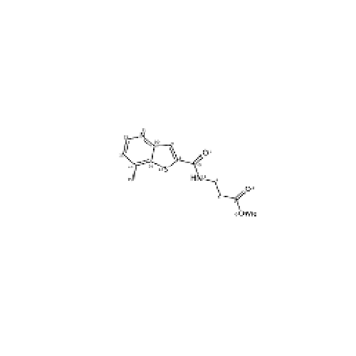 COC(=O)CCNC(=O)c1cc2nccc(C)c2s1